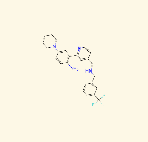 Nc1ccc(N2CCCCC2)cc1-c1cc(CNCc2cccc(C(F)(F)F)c2)ccn1